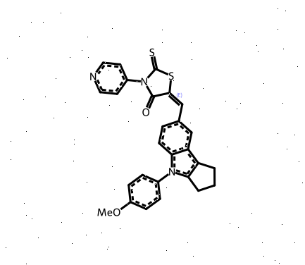 COc1ccc(-n2c3c(c4cc(/C=C5/SC(=S)N(c6ccncc6)C5=O)ccc42)CCC3)cc1